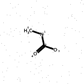 C[N]C([O])=O